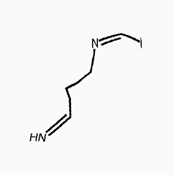 N=CCC/N=C\I